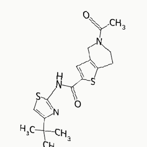 CC(=O)N1CCc2sc(C(=O)Nc3nc(C(C)(C)C)cs3)cc2C1